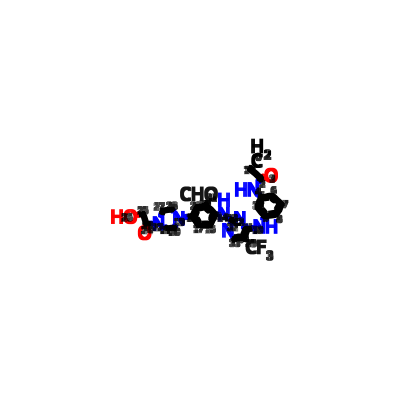 C=CC(=O)Nc1cccc(Nc2nc(Nc3ccc(N4CCN(C(=O)CO)CC4)cc3C=O)ncc2C(F)(F)F)c1